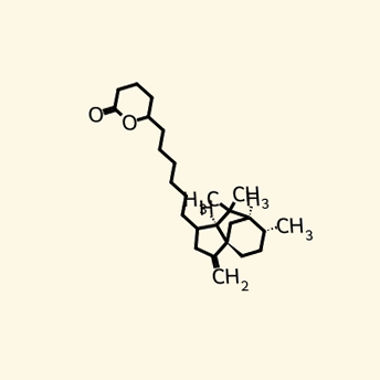 C=C1CC(CCCCCCC2CCCC(=O)O2)[C@H]2C(C)(C)[C@@H]3C[C@]12CC[C@H]3C